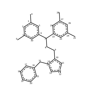 Cc1cc(C)cc(C(CCc2cncn2Cc2ccccc2)c2cc(C)cc(C)c2)c1